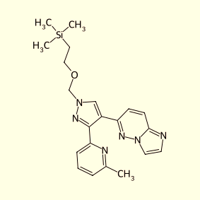 Cc1cccc(-c2nn(COCC[Si](C)(C)C)cc2-c2ccc3nccn3n2)n1